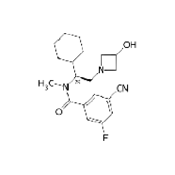 CN(C(=O)c1cc(F)cc(C#N)c1)[C@H](CN1CC(O)C1)C1CCCCC1